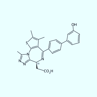 Cc1sc2c(c1C)C(c1ccc(-c3cccc(O)c3)cc1)=N[C@@H](CC(=O)O)c1nnc(C)n1-2